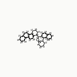 c1cnc2cc(C(ON3CCCCC3)C3CCCc4c3ccc3c4ccc4ccccc43)ccc2c1